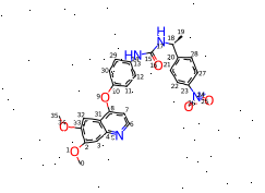 COc1cc2nccc(Oc3ccc(NC(=O)N[C@@H](C)c4ccc([N+](=O)[O-])cc4)cc3)c2cc1OC